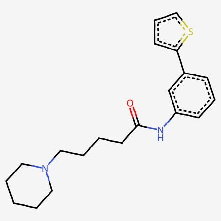 O=C(CCCCN1CCCCC1)Nc1cccc(-c2cccs2)c1